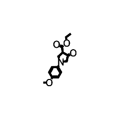 CCOC(=O)C1CN(c2ccc(OC)cc2)CC1=O